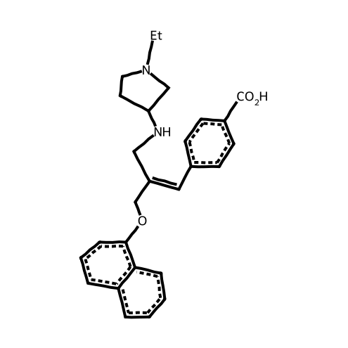 CCN1CCC(NCC(=Cc2ccc(C(=O)O)cc2)COc2cccc3ccccc23)C1